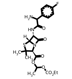 CCOC(=O)OC(C)OC(=O)[C@@H]1N2C(=O)[C@@H](NC(=O)C(N)c3ccc(F)cc3)[C@H]2SC1(C)C